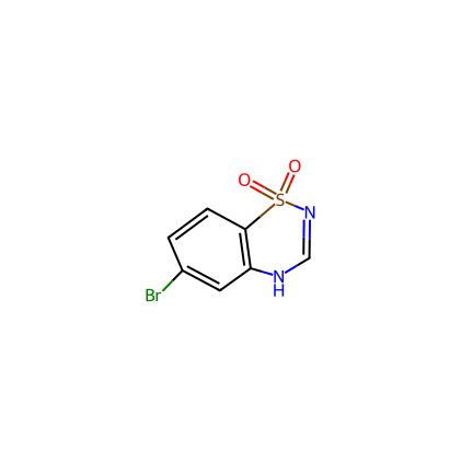 O=S1(=O)N=CNc2cc(Br)ccc21